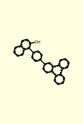 Oc1ccc2ccccc2c1-c1ccc(-c2ccc3c4ccccc4c4ccccc4c3c2)cc1